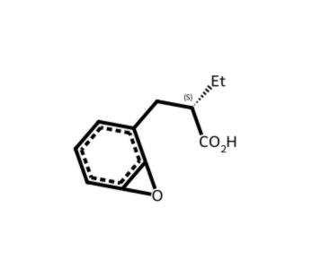 CC[C@@H](Cc1cccc2c1O2)C(=O)O